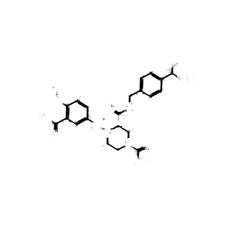 COc1ccc(S(=O)(=O)N2CCN(C(C)=O)C[C@@H]2C(=O)NCc2ccc(C(C)C)cc2)cc1C(=O)O